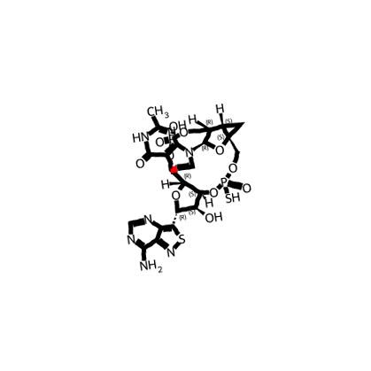 Cc1nc2c(ncn2[C@@H]2O[C@]34COP(=O)(S)O[C@H]5[C@@H](O)[C@H](c6snc7c(N)ncnc67)O[C@@H]5COP(=O)(O)O[C@@H]2[C@@H]3C4)c(=O)[nH]1